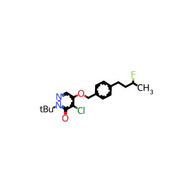 CC(F)CCc1ccc(COc2cnn(C(C)(C)C)c(=O)c2Cl)cc1